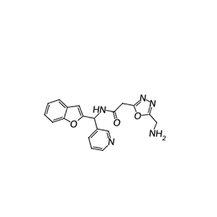 NCc1nnc(CC(=O)NC(c2cccnc2)c2cc3ccccc3o2)o1